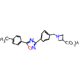 Cc1ccc(-c2nc(-c3ccc(CN4CC(C(=O)O)C4)cc3)no2)cc1